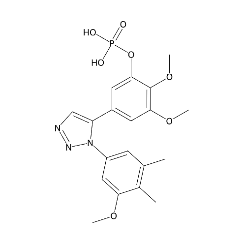 COc1cc(-n2nncc2-c2cc(OC)c(OC)c(OP(=O)(O)O)c2)cc(C)c1C